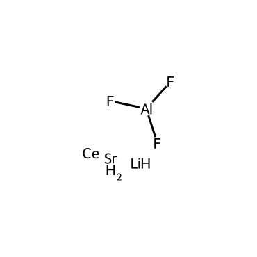 [Ce].[F][Al]([F])[F].[LiH].[SrH2]